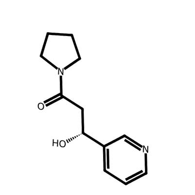 O=C(C[C@@H](O)c1cccnc1)N1CCCC1